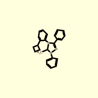 CC1N(c2ccccc2)N=C(c2ccccc2)N1c1ccccc1C1CCC1